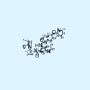 C=CC(=O)N[C@H]1CCC[C@H]1NC(=O)c1sc2nccc3c2c1NC(=O)N3c1ccc(Oc2ccccn2)cc1C